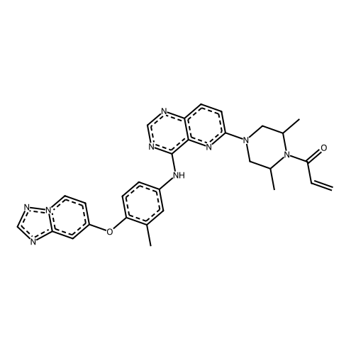 C=CC(=O)N1C(C)CN(c2ccc3ncnc(Nc4ccc(Oc5ccn6ncnc6c5)c(C)c4)c3n2)CC1C